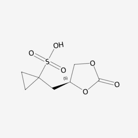 O=C1OC[C@H](CC2(S(=O)(=O)O)CC2)O1